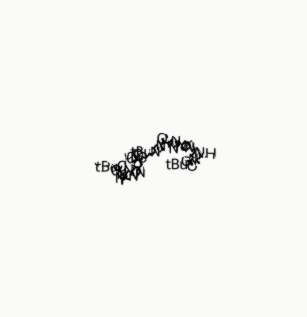 Cc1nn(C(=O)OC(C)(C)C)c(Nc2ncnc3cc(OCCCN4CCN(C(=O)c5cnc(N6CCN(CC7CN(C(=O)OC(C)(C)C)C(C)CN7)[C@H](C)C6)nc5)CC4)c(S(=O)(=O)C(C)(C)C)cc23)c1C